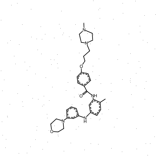 Cc1ccc(Nc2cccc(N3CCOCC3)c2)cc1NC(=O)c1ccc(OCCCN2CCN(C)CC2)cc1